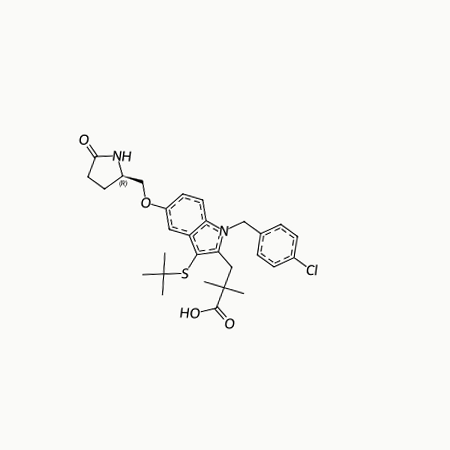 CC(C)(C)Sc1c(CC(C)(C)C(=O)O)n(Cc2ccc(Cl)cc2)c2ccc(OC[C@H]3CCC(=O)N3)cc12